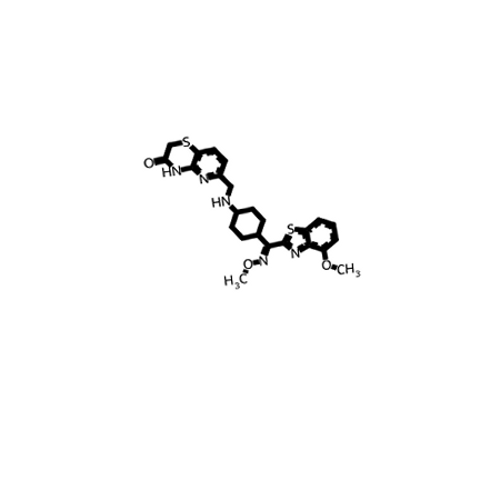 CO/N=C(/c1nc2c(OC)cccc2s1)C1CCC(NCc2ccc3c(n2)NC(=O)CS3)CC1